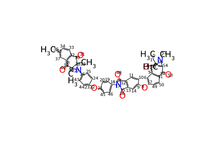 CCC12C(=O)c3cc(Oc4ccc5c(c4)C(=O)N(c4ccc(Oc6ccc(N7C8(C)C(=O)c9ccc(C)cc9C(=O)C78C)cc6)cc4)C5=O)ccc3C(=O)C1(C)N2C